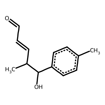 Cc1ccc(C(O)C(C)/C=C/C=O)cc1